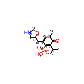 CC(C)C1=C(S(=O)(=O)O)C(CC2CNCO2)=CC(C)C1=O